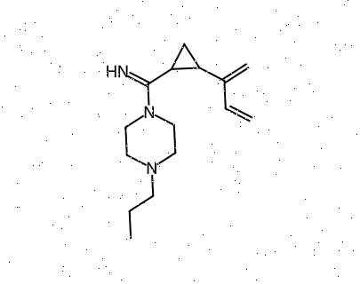 C=CC(=C)C1CC1C(=N)N1CCN(CCC)CC1